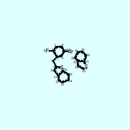 Fc1ccc(Br)cc1Cc1cc2ccccc2s1.c1ccc2sccc2c1